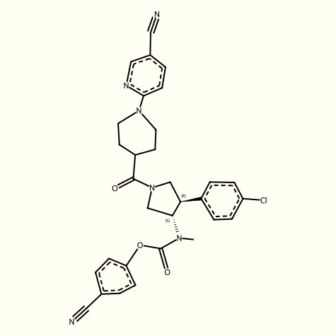 CN(C(=O)Oc1ccc(C#N)cc1)[C@@H]1CN(C(=O)C2CCN(c3ccc(C#N)cn3)CC2)C[C@H]1c1ccc(Cl)cc1